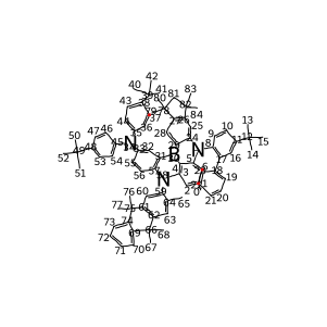 Cc1cc2c3c(c1)N(c1ccc(C(C)(C)C)cc1-c1ccccc1)c1cc4c(cc1B3c1cc(N(c3ccc(C(C)(C)C)cc3)c3ccc(C(C)(C)C)cc3)ccc1N2c1cc2c(cc1C)C(C)(C)c1ccccc1C2(C)C)C(C)(C)CC4(C)C